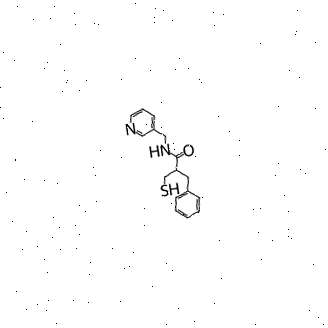 O=C(NCc1cccnc1)C(CS)Cc1ccccc1